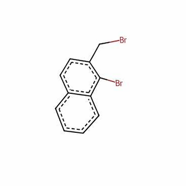 BrCc1ccc2ccccc2c1Br